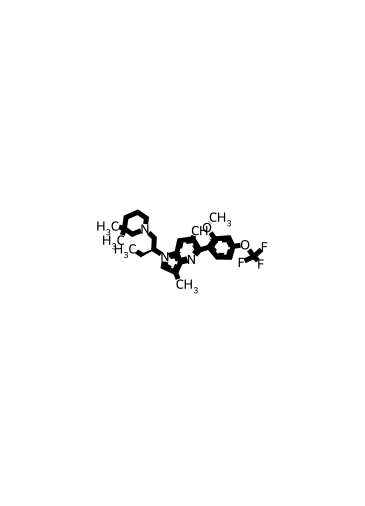 CC[C@@H](CN1CCCC(C)(C)C1)n1cc(C)c2nc(-c3ccc(OC(F)(F)F)cc3OC)c(C)cc21